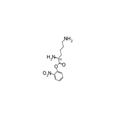 NCCCC[C@H](N)C(=O)Oc1ccccc1[N+](=O)[O-]